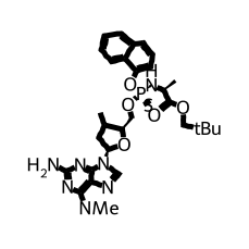 CNc1nc(N)nc2c1ncn2[C@H]1CC(C)[C@@H](CO[P@@](=S)(N[C@@H](C)C(=O)OCC(C)(C)C)Oc2cccc3ccccc23)O1